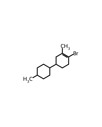 CC1=C(Br)CCC(C2CCC(C)CC2)C1